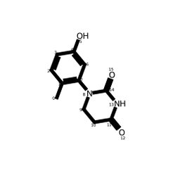 Cc1ccc(O)cc1N1CCC(=O)NC1=O